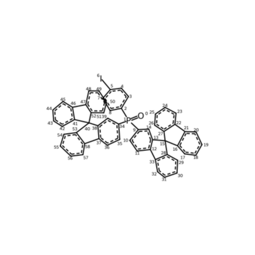 O=P(c1ccc(I)cc1)(c1ccc2c(c1)C1(c3ccccc3-c3ccccc31)c1ccccc1-2)c1ccc2c(c1)C1(c3ccccc3-c3ccccc31)c1ccccc1-2